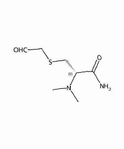 CN(C)[C@H](CSCC=O)C(N)=O